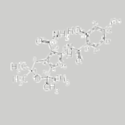 CC1(C)Cc2c(sc(NC(=O)c3ccc(F)cc3O)c2C(N)=O)C(C)(C)O1